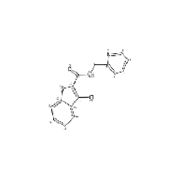 O=C(NCc1ccccn1)c1sc2ccccc2c1Cl